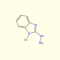 CCn1c(NN)nc2ccccc21